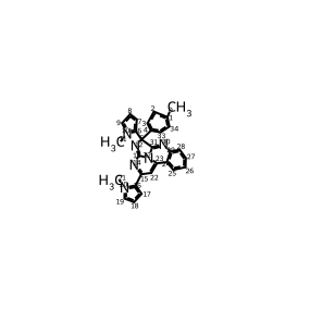 Cc1ccc(C2(c3cccn3C)N=C3N=C(c4cccn4C)C=C4c5ccccc5N=C2N43)cc1